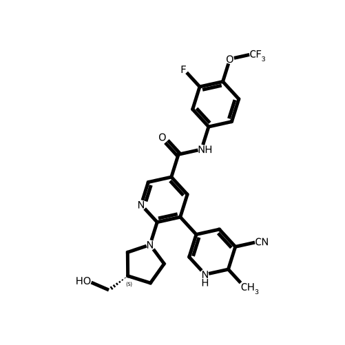 CC1NC=C(c2cc(C(=O)Nc3ccc(OC(F)(F)F)c(F)c3)cnc2N2CC[C@H](CO)C2)C=C1C#N